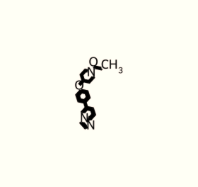 CCC(=O)N1CCC(Oc2ccc(-c3ccc4nccn4c3)cc2)CC1